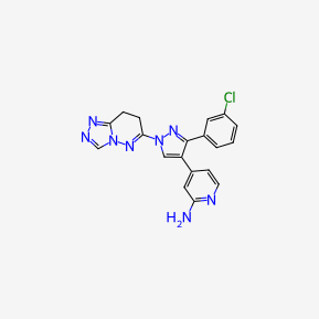 Nc1cc(-c2cn(C3=Nn4cnnc4CC3)nc2-c2cccc(Cl)c2)ccn1